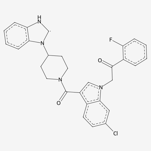 O=C(Cn1cc(C(=O)N2CCC(N3[CH]Nc4ccccc43)CC2)c2ccc(Cl)cc21)c1ccccc1F